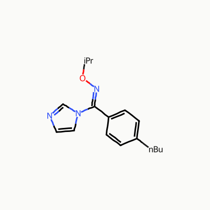 CCCCc1ccc(C(=NOC(C)C)n2ccnc2)cc1